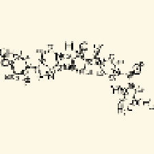 COc1ccc(-c2cnc3c(Nc4ccc(C(=O)N5CCN(C(=O)[C@@H]6CC(C)(C)CN6)CC5)c(C)c4)nccn23)c(F)c1F